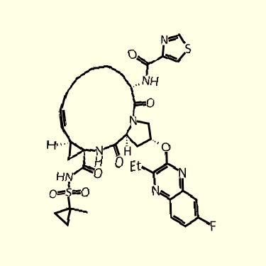 CCc1nc2ccc(F)cc2nc1O[C@@H]1C[C@H]2C(=O)N[C@]3(C(=O)NS(=O)(=O)C4(C)CC4)C[C@H]3C=CCCCCC[C@H](NC(=O)c3cscn3)C(=O)N2C1